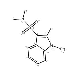 Cc1c(S(=O)(=O)N(C)C)c2ccccc2n1C#N